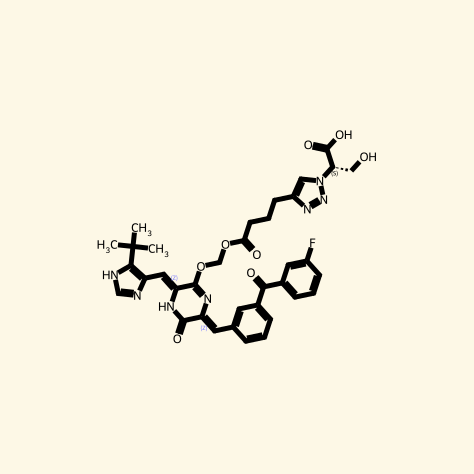 CC(C)(C)c1[nH]cnc1/C=c1\[nH]c(=O)/c(=C/c2cccc(C(=O)c3cccc(F)c3)c2)nc1OCOC(=O)CCCc1cn([C@@H](CO)C(=O)O)nn1